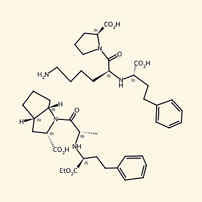 CCOC(=O)[C@H](CCc1ccccc1)N[C@@H](C)C(=O)N1[C@H](C(=O)O)C[C@@H]2CCC[C@@H]21.NCCCC[C@H](N[C@@H](CCc1ccccc1)C(=O)O)C(=O)N1CCC[C@H]1C(=O)O